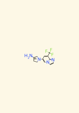 N[C@@H]1CCN(c2cc(C(F)(F)F)c3nccn3c2)C1